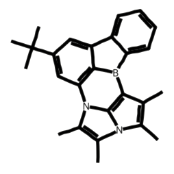 Cc1c2c3n(c(C)c(C)n3c1C)-c1cc(C(C)(C)C)cc3c1B2c1ccccc1-3